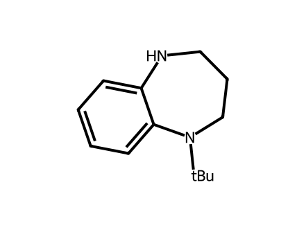 CC(C)(C)N1CCCNc2ccccc21